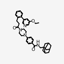 CCOc1cncc(-c2ccccc2CCC(=O)N2CCN(c3ccc(C(=O)NCC45CC6CC(CC(C6)C4)C5)cc3)CC2)c1